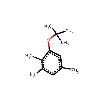 Cc1cc(C)c(C)c(OC(C)(C)C)c1